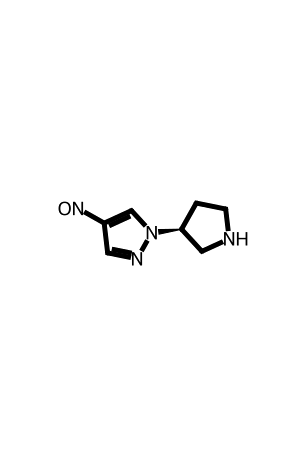 O=Nc1cnn([C@H]2CCNC2)c1